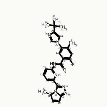 Cc1cc(F)c(C(=O)Nc2cccc(-c3nnc4n3[C@H](C)C=C4)n2)cc1-n1cnc(C(C)(C)C)c1